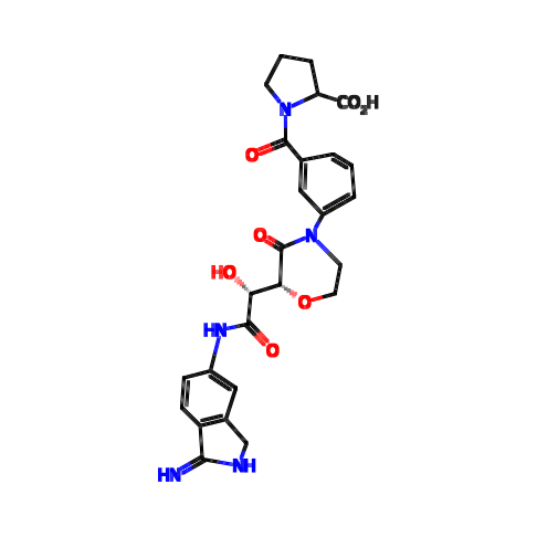 N=C1NCc2cc(NC(=O)[C@H](O)[C@H]3OCCN(c4cccc(C(=O)N5CCCC5C(=O)O)c4)C3=O)ccc21